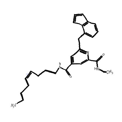 CCCC/C=C\CCCNC(=O)c1cc(Cc2cccc3c2C=C=C3)nc(C(=O)NC)c1